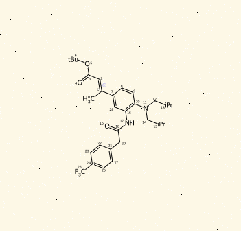 C/C(=C\C(=O)OC(C)(C)C)c1ccc(N(CC(C)C)CC(C)C)c(NC(=O)Cc2ccc(C(F)(F)F)cc2)c1